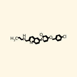 CCCNCc1ccc2cc(-n3ccc(OCc4ccc(Cl)cc4)cc3=O)ccc2n1